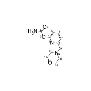 NC(=O)Oc1cccc(CN2CCOCC2)n1